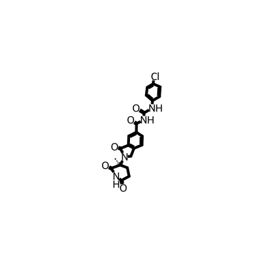 C[C@]1(N2Cc3ccc(C(=O)NC(=O)Nc4ccc(Cl)cc4)cc3C2=O)CCC(=O)NC1=O